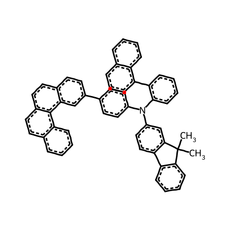 CC1(C)c2ccccc2-c2ccc(N(c3ccc(-c4ccc5ccc6ccc7ccccc7c6c5c4)cc3)c3ccccc3-c3cccc4ccccc34)cc21